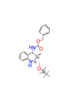 C[C@@H]1C(NC(=O)OCc2ccccc2)c2ccccc2N[C@H]1CO[Si](C)(C)C(C)(C)C